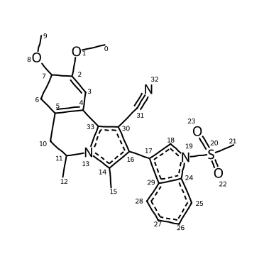 COC1=CC2=C(CC1OC)CC(C)n1c(C)c(-c3cn(S(C)(=O)=O)c4ccccc34)c(C#N)c12